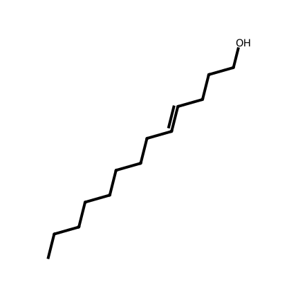 CCCCCCCCC=CCCCO